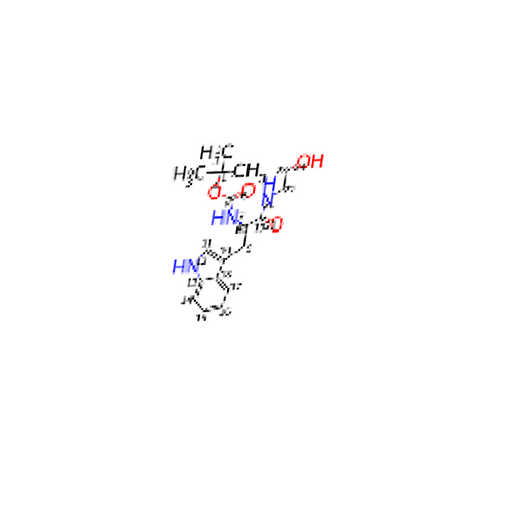 CC(C)(C)OC(=O)N[C@H](Cc1c[nH]c2ccccc12)C(=O)NCCO